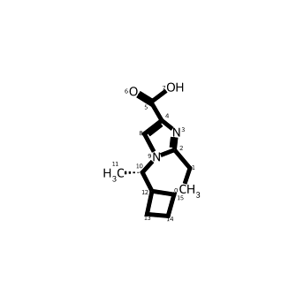 CCc1nc(C(=O)O)cn1[C@@H](C)C1CCC1